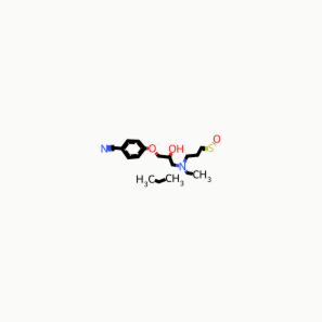 CCC.CCN(CCC=S=O)CC(O)COc1ccc(C#N)cc1